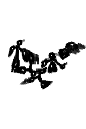 O=C(O)O.O=C(O)O.O=P([O-])([O-])[O-].O=P([O-])([O-])[O-].[Ca+2].[Ca+2].[Ca+2]